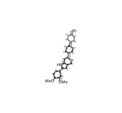 COc1ccc(-c2cc3cnc(-c4ccc(N5CCN(C(C)C)CC5)cc4)cc3[nH]2)cc1OC